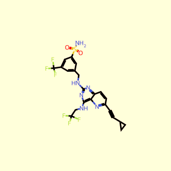 NS(=O)(=O)c1cc(CNc2nc(NCC(F)(F)F)c3nc(C#CC4CC4)ccc3n2)cc(C(F)(F)F)c1